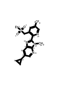 CCS(=O)(=O)Cc1cc(C(F)(F)F)cnc1-c1nc2cc(C3CC3)cnc2n1C